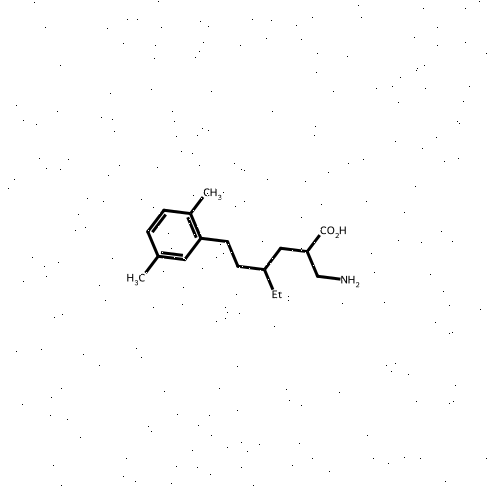 CCC(CCc1cc(C)ccc1C)CC(CN)C(=O)O